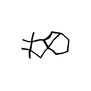 CC1(C)CC23CCCC(CC2C1(C)C)C3